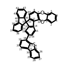 c1ccc2c(c1)Oc1ccc3c(c1O2)-c1ccc(-c2cccc4c2sc2ccccc24)cc1C31c2ccccc2-c2ccccc21